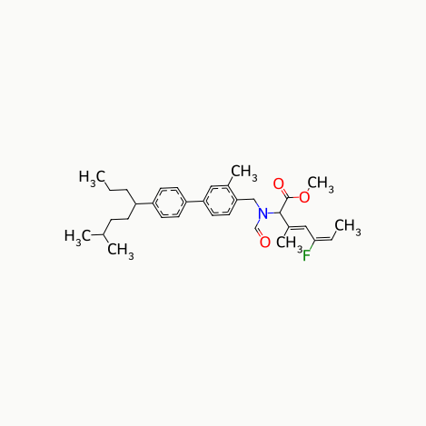 C/C=C(F)\C=C(/C)C(C(=O)OC)N(C=O)Cc1ccc(-c2ccc(C(CCC)CCC(C)C)cc2)cc1C